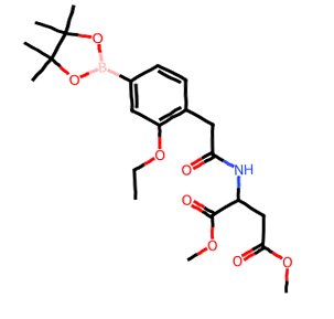 CCOc1cc(B2OC(C)(C)C(C)(C)O2)ccc1CC(=O)NC(CC(=O)OC)C(=O)OC